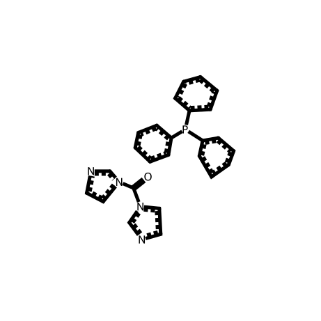 O=C(n1ccnc1)n1ccnc1.c1ccc(P(c2ccccc2)c2ccccc2)cc1